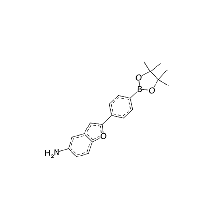 CC1(C)OB(c2ccc(-c3cc4cc(N)ccc4o3)cc2)OC1(C)C